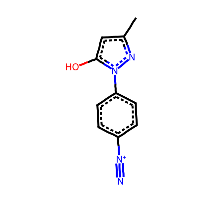 Cc1cc(O)n(-c2ccc([N+]#N)cc2)n1